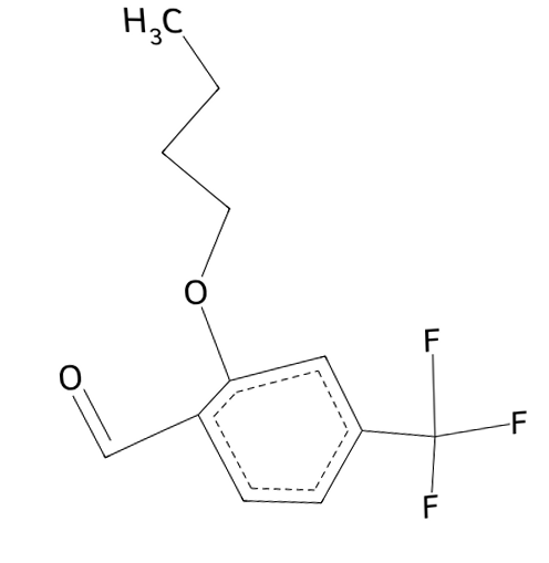 CCCCOc1cc(C(F)(F)F)ccc1C=O